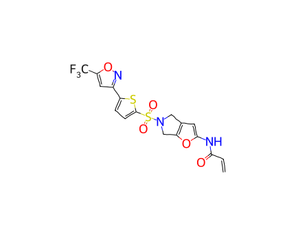 C=CC(=O)Nc1cc2c(o1)CN(S(=O)(=O)c1ccc(-c3cc(C(F)(F)F)on3)s1)C2